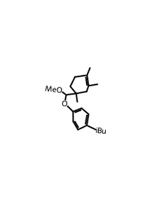 CCC(C)c1ccc(OC(OC)C2(C)CCC(C)=C(C)C2)cc1